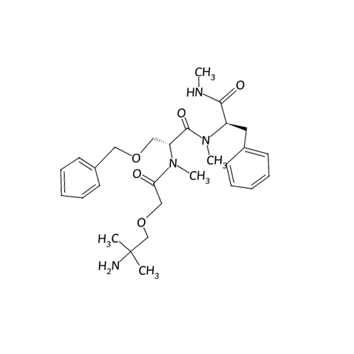 CNC(=O)[C@@H](Cc1ccccc1)N(C)C(=O)[C@@H](COCc1ccccc1)N(C)C(=O)COCC(C)(C)N